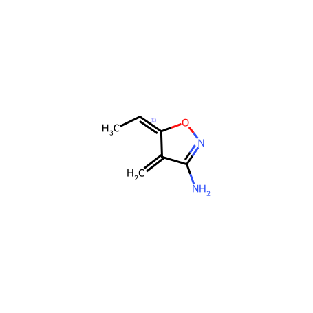 C=c1c(N)no/c1=C/C